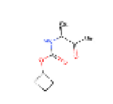 CC(C)(C)C(=O)[C@@H](NC(=O)OC1CCC1)C(C)(C)C